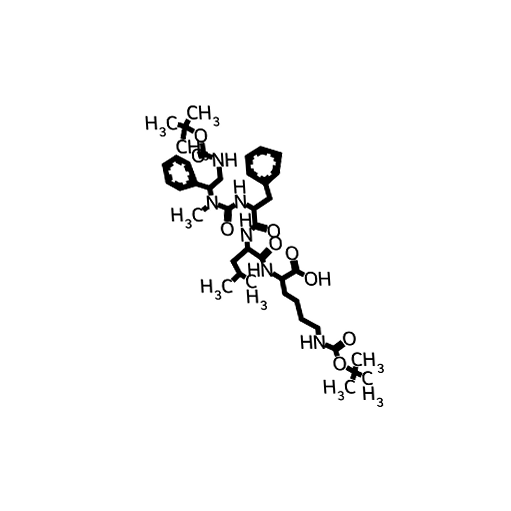 CC(C)CC(NC(=O)C(Cc1ccccc1)NC(=O)N(C)C(CNC(=O)OC(C)(C)C)c1ccccc1)C(=O)NC(CCCCNC(=O)OC(C)(C)C)C(=O)O